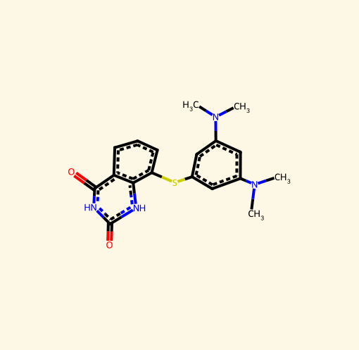 CN(C)c1cc(Sc2cccc3c(=O)[nH]c(=O)[nH]c23)cc(N(C)C)c1